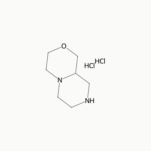 C1CN2CCOCC2CN1.Cl.Cl